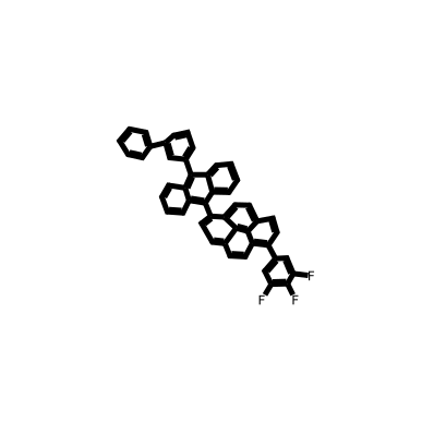 Fc1cc(-c2ccc3ccc4c(-c5c6ccccc6c(-c6cccc(-c7ccccc7)c6)c6ccccc56)ccc5ccc2c3c54)cc(F)c1F